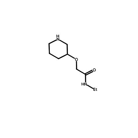 CCNC(=O)COC1CCCNC1